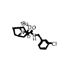 CC(C)(C)OC(=O)N1C2CCC1CC(C(=O)NCc1cccc(Cl)c1)C2